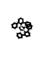 CC1N(C2=C(c3ccccc3)CCC=C2c2ccccc2)CCN1c1c(-c2ccccc2)cccc1-c1ccccc1